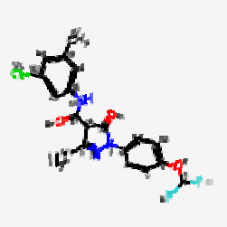 CC1=NN(c2ccc(OC(F)F)cc2)C(=O)C1C(=O)Nc1cc(C)cc(Cl)c1